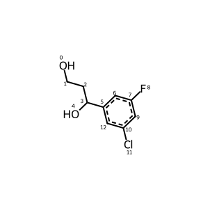 OCCC(O)c1cc(F)cc(Cl)c1